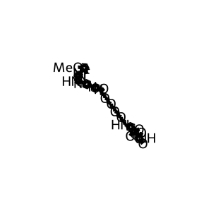 COc1cccc(F)c1-c1ncc2[nH]nc(-c3ccc(N4CCN(C(=O)CCOCCOCCOCCOCCNc5ccc6c(c5)C(=O)N(C5CCC(=O)NC5=O)C6=O)CC4)cc3)c2n1